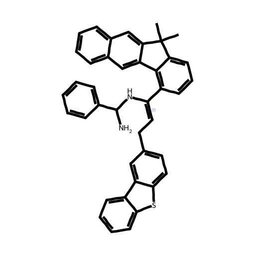 CC1(C)c2cc3ccccc3cc2-c2c(/C(=C/Cc3ccc4sc5ccccc5c4c3)NC(N)c3ccccc3)cccc21